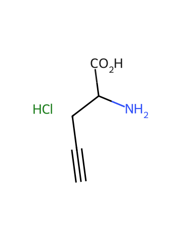 C#CCC(N)C(=O)O.Cl